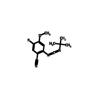 COc1cc(N=C=NC(C)(C)C)c(C#N)cc1F